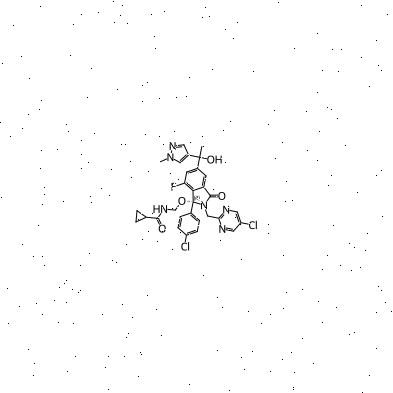 Cn1cc(C(C)(O)c2cc(F)c3c(c2)C(=O)N(Cc2ncc(Cl)cn2)[C@@]3(OCNC(=O)C2CC2)c2ccc(Cl)cc2)cn1